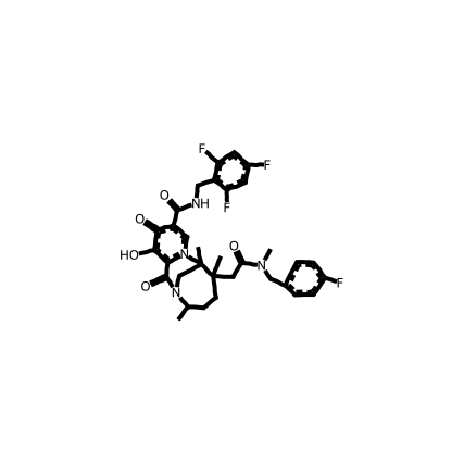 CC1CCC(C)(CC(=O)N(C)Cc2ccc(F)cc2)C2(C)CN1C(=O)c1c(O)c(=O)c(C(=O)NCc3c(F)cc(F)cc3F)cn12